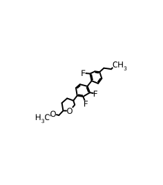 CCCc1ccc(-c2ccc(C3CCC(COC)OC3)c(F)c2F)c(F)c1